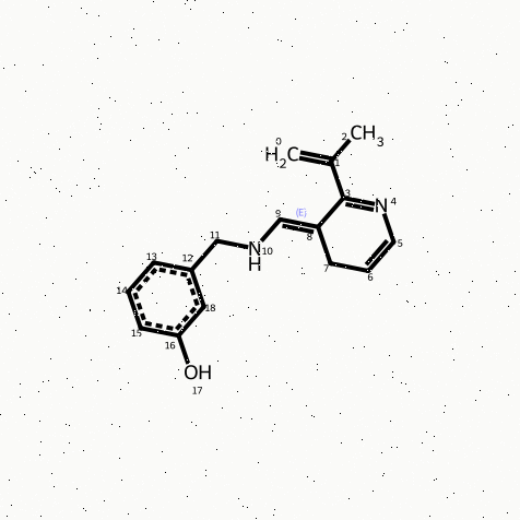 C=C(C)C1=NC=CC/C1=C\NCc1cccc(O)c1